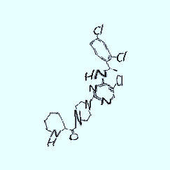 C[C@@H](Nc1nc(N2CCN(C(=O)C3CCCCN3)CC2)ncc1Cl)c1ccc(Cl)cc1Cl